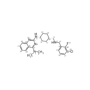 CN(C)c1nc(N[C@H]2CC[C@@H](CNCc3cccc(Cl)c3F)CC2)nc2ccccc12